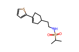 CC(C)S(=O)(=O)NCCC1CC=C(c2cccs2)CC1